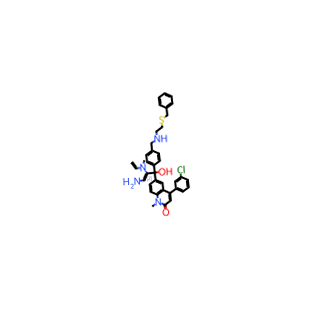 C=CN(C)/C(=C\N)C(O)(c1ccc(CNCCSCc2ccccc2)cc1)c1ccc2c(c1)c(-c1cccc(Cl)c1)cc(=O)n2C